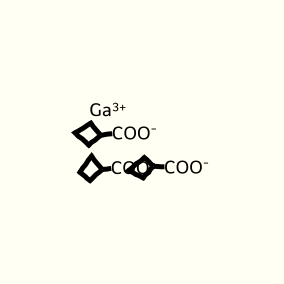 O=C([O-])C1CCC1.O=C([O-])C1CCC1.O=C([O-])C1CCC1.[Ga+3]